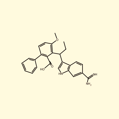 CCC(c1c(OC)ccc(-c2ccccc2)c1C(=O)O)c1c[nH]c2cc(C(=N)N)ccc12